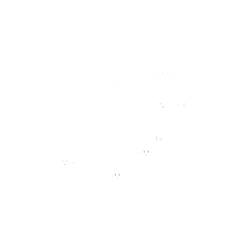 CCOC(=O)c1c(Br)c(-c2ccc(OC)c(OC)c2OC)c(Br)n1O